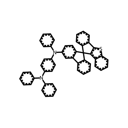 c1ccc(N(c2ccccc2)c2ccc(N(c3ccccc3)c3ccc4c(c3)-c3ccccc3C43c4ccccc4-c4sc5ccccc5c43)cc2)cc1